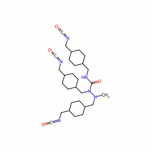 CN(CC1CCC(CN=C=O)CC1)N(CC1CCC(CN=C=O)CC1)C(=O)NCC1CCC(CN=C=O)CC1